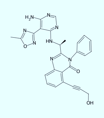 Cc1nc(-c2c(N)ncnc2N[C@@H](C)c2nc3cccc(C#CCO)c3c(=O)n2-c2ccccc2)no1